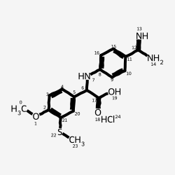 COc1ccc(C(Nc2ccc(C(=N)N)cc2)C(=O)O)cc1SC.Cl